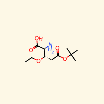 CCO[C@@H](CC(=O)OC(C)(C)C)[C@H](N)C(=O)O